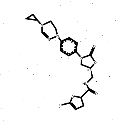 O=C(NC[C@H]1CN(c2ccc(N3CCN(C4CC4)C=N3)cc2)C(=O)O1)C1CC=C(Cl)S1